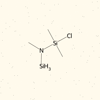 CN([SiH3])[Si](C)(C)Cl